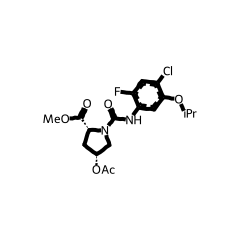 COC(=O)[C@H]1C[C@@H](OC(C)=O)CN1C(=O)Nc1cc(OC(C)C)c(Cl)cc1F